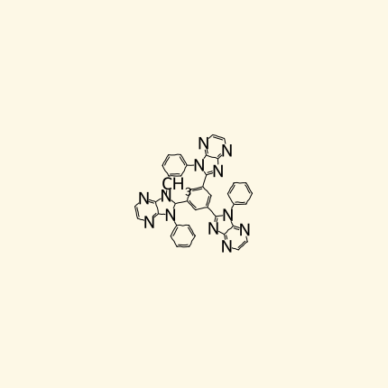 CN1c2nccnc2N(c2ccccc2)C1c1cc(-c2nc3nccnc3n2-c2ccccc2)cc(-c2nc3nccnc3n2-c2ccccc2)c1